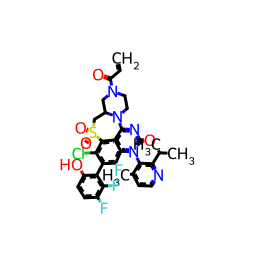 C=CC(=O)N1CCN2c3nc(=O)n(-c4c(C)ccnc4C(C)C)c4c(F)c(-c5c(O)ccc(F)c5F)c(Cl)c(c34)S(=O)(=O)CC2C1